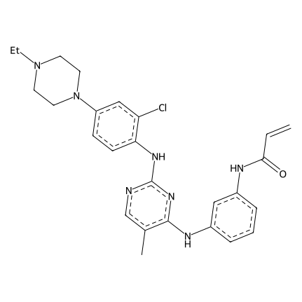 C=CC(=O)Nc1cccc(Nc2nc(Nc3ccc(N4CCN(CC)CC4)cc3Cl)ncc2C)c1